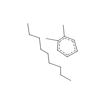 CCCCCCCCC.Cc1ccccc1C